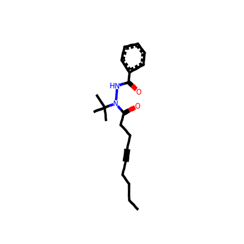 CCCCC#CCCC(=O)N(NC(=O)c1ccccc1)C(C)(C)C